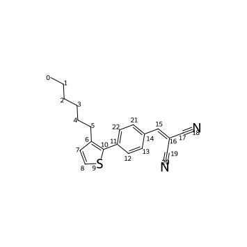 CCCCCCc1ccsc1-c1ccc(C=C(C#N)C#N)cc1